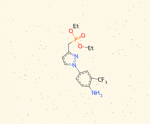 CCOP(=O)(Cc1ccn(-c2ccc(N)c(C(F)(F)F)c2)n1)OCC